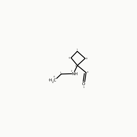 [CH2]CNC1(C=O)CCC1